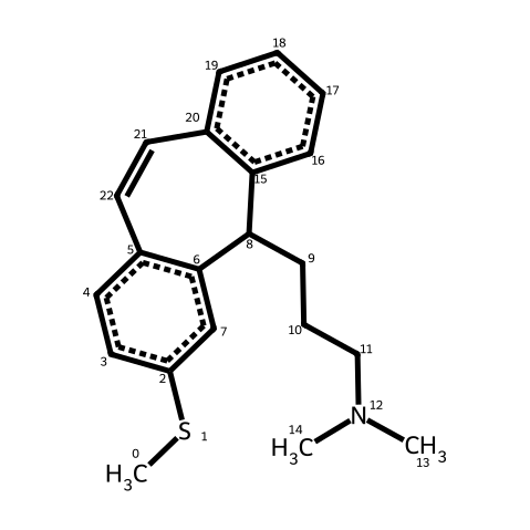 CSc1ccc2c(c1)C(CCCN(C)C)c1ccccc1C=C2